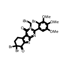 CCC(C)Cn1c(-c2cc(OC)c(OC)c(OC)c2Br)nc2sc3c(c2c1=O)CCC(Br)(Br)C3=O